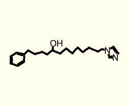 OC(CCCCCCCCn1ccnc1)CCCCc1ccccc1